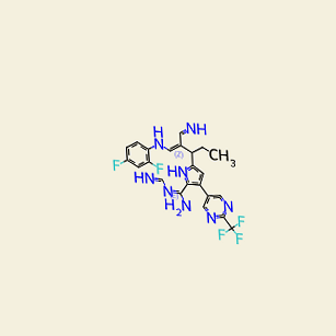 CCC(/C(C=N)=C/Nc1ccc(F)cc1F)c1cc(-c2cnc(C(F)(F)F)nc2)c(/C(N)=N\C=N)[nH]1